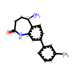 Cc1cccc(-c2ccc3c(c2)NC(=O)CC[C@H]3N)c1